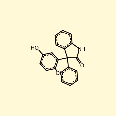 O=C1Nc2ccccc2C1(c1ccccc1)c1cc(O)ccc1O